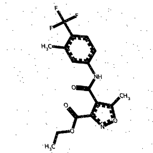 CCOC(=O)c1noc(C)c1C(=O)Nc1ccc(C(F)(F)F)c(C)c1